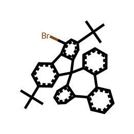 CC(C)(C)c1ccc2c(c1)C1(c3ccccc3-c3ccccc3-c3ccccc31)c1cc(C(C)(C)C)cc(Br)c1-2